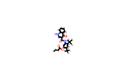 CCCC(=O)Oc1cc(NC(=O)c2c[nH]c3ccccc3c2=O)c(C(C)(C)C)cc1C(C)(C)C